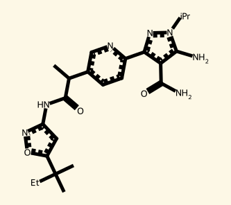 CCC(C)(C)c1cc(NC(=O)C(C)c2ccc(-c3nn(C(C)C)c(N)c3C(N)=O)nc2)no1